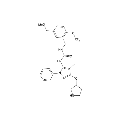 COCc1ccc(OC(F)(F)F)c(CNC(=O)Nc2c(C)c(OC3CCNC3)nn2-c2ccccc2)c1